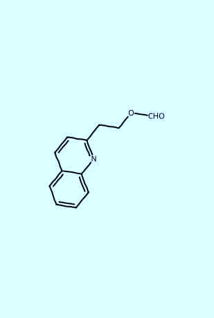 O=COCCc1ccc2ccccc2n1